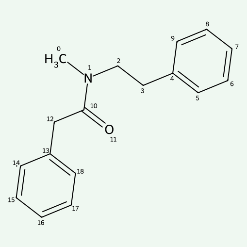 CN(CCc1ccccc1)C(=O)Cc1[c]cccc1